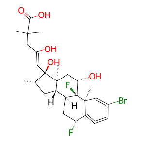 C[C@H]1C[C@H]2[C@@H]3C[C@@H](F)C4=C=CC(Br)=C[C@]4(C)[C@@]3(F)[C@@H](O)C[C@]2(C)[C@@]1(O)C=C(O)CC(C)(C)C(=O)O